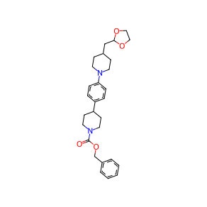 O=C(OCc1ccccc1)N1CCC(c2ccc(N3CCC(CC4OCCO4)CC3)cc2)CC1